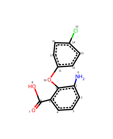 Nc1cccc(C(=O)O)c1Oc1ccc(Cl)cc1